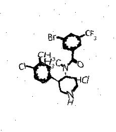 Cc1cc([C@@H]2CNCC[C@H]2N(C)C(=O)c2cc(Br)cc(C(F)(F)F)c2)ccc1Cl.Cl